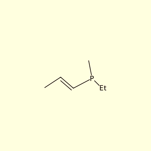 CC=CP(C)CC